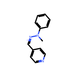 CN(/N=C\c1ccncc1)c1ccccc1